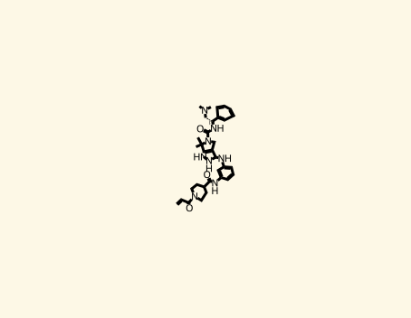 C=CC(=O)N1CCC(C(=O)Nc2cccc(NC3NNC4=C3CN(C(=O)N[C@H](CN(C)C)c3ccccc3)C4(C)C)c2)CC1